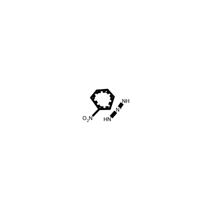 N=[N+]=N.O=[N+]([O-])c1ccccc1